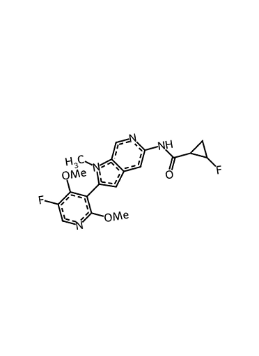 COc1ncc(F)c(OC)c1-c1cc2cc(NC(=O)C3CC3F)ncc2n1C